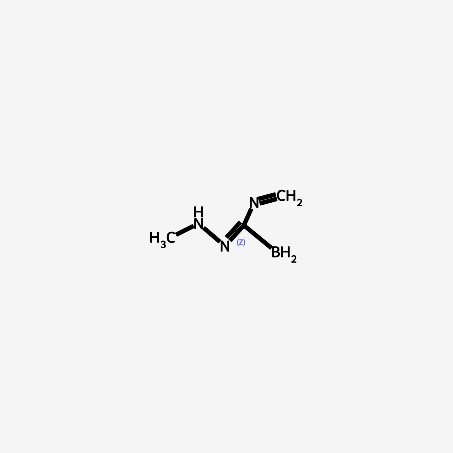 B/C(N=C)=N/NC